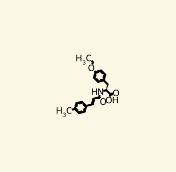 CCOc1ccc(C[C@H](NC(=O)/C=C/c2ccc(C)cc2)C(=O)O)cc1